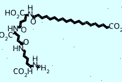 O=C(O)CCCCCCCCCCCCCCCCCCC(=O)N[C@@H](CCC(=O)N[C@@H](CCC(=O)NCCCC[C@H](NP)C(=O)O)C(=O)O)C(=O)O